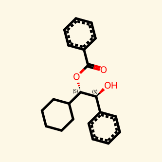 O=C(O[C@@H](C1CCCCC1)[C@@H](O)c1ccccc1)c1ccccc1